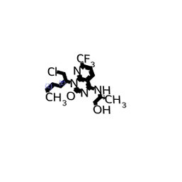 C/C=C\C=C(/CCl)n1c(=O)nc(N[C@@H](C)CO)c2ccc(C(F)(F)F)nc21